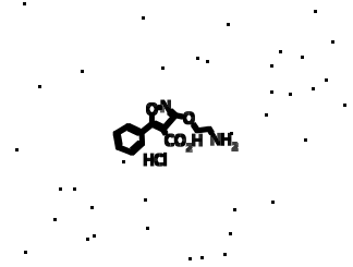 Cl.NCCOc1noc(-c2ccccc2)c1C(=O)O